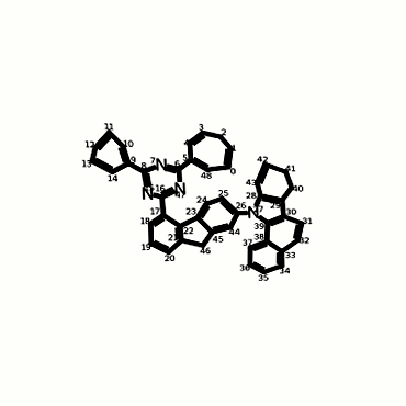 C1=CCC=CC(c2nc(-c3ccccc3)nc(-c3cccc4c3-c3ccc(-n5c6c(c7ccc8ccccc8c75)CCC=C6)cc3C4)n2)=C1